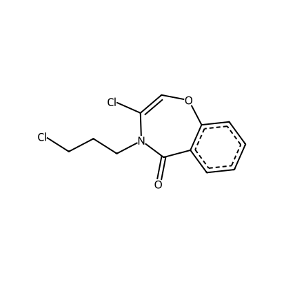 O=C1c2ccccc2OC=C(Cl)N1CCCCl